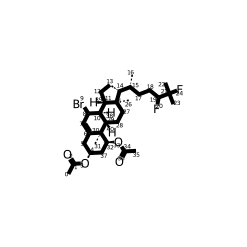 CC(=O)O[C@@H]1CC2=CC(Br)[C@H]3[C@@H]4CC[C@H]([C@H](C)CCC(F)C(C)(C)F)[C@@]4(C)CC[C@@H]3[C@@]2(C)[C@@H](OC(C)=O)C1